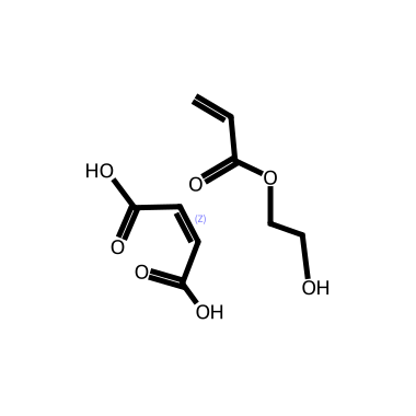 C=CC(=O)OCCO.O=C(O)/C=C\C(=O)O